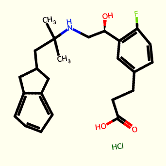 CC(C)(CC1Cc2ccccc2C1)NC[C@@H](O)c1cc(CCC(=O)O)ccc1F.Cl